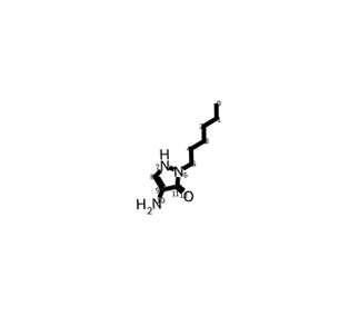 CCCCCCn1[nH]cc(N)c1=O